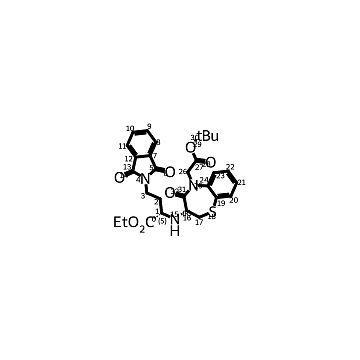 CCOC(=O)[C@H](CCN1C(=O)c2ccccc2C1=O)N[C@H]1CSc2ccccc2N(CC(=O)OC(C)(C)C)C1=O